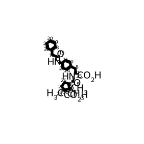 CC1(C)[C@@H](C(=O)N[C@@H](Cc2ccc(NC(=O)Cc3ccccc3)cc2)C(=O)O)CC[C@@]1(C)C(=O)O